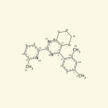 Cc1ccc(-c2nc(-c3cccc(C)n3)nc3c2CCCC3)c(C)c1